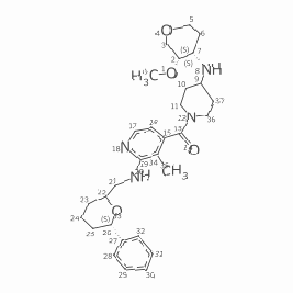 CO[C@@H]1COCC[C@@H]1NC1CCN(C(=O)c2ccnc(NCC3CCC[C@@H](c4ccccc4)O3)c2C)CC1